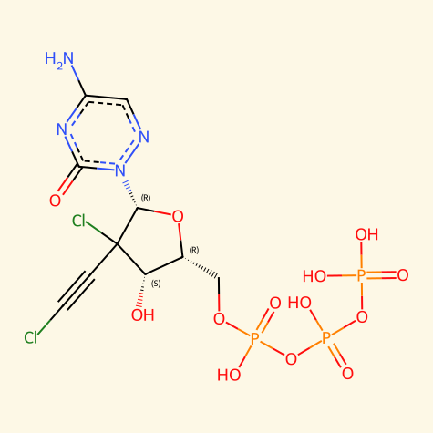 Nc1cnn([C@@H]2O[C@H](COP(=O)(O)OP(=O)(O)OP(=O)(O)O)[C@H](O)C2(Cl)C#CCl)c(=O)n1